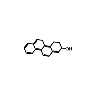 OC1C=c2ccc3c(c2CC1)CC=c1ccccc1=3